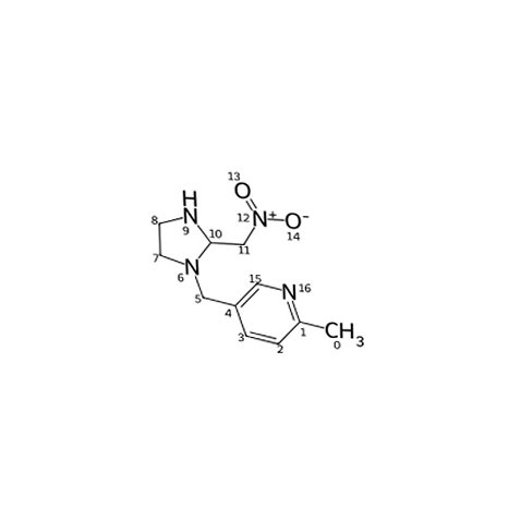 Cc1ccc(CN2CCNC2C[N+](=O)[O-])cn1